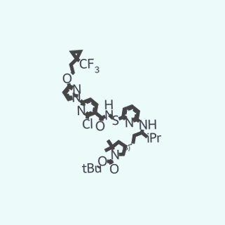 CC(C)C(CC[C@@H]1CN(C(=O)OC(C)(C)C)C(C)(C)C1)Nc1cccc(SNC(=O)c2ccc(-n3ccc(OCCC4(C(F)(F)F)CC4)n3)nc2Cl)n1